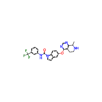 CC1NCCc2c(Oc3ccc4c(ccn4C(=O)Nc4cccc(C(F)(F)F)c4)c3)ncnc21